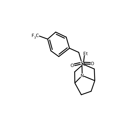 CCN1CC2CCC(C1)N2S(=O)(=O)Cc1ccc(C(F)(F)F)cc1